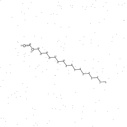 CCCCCCCCCCCCCCCCCO[C]=O